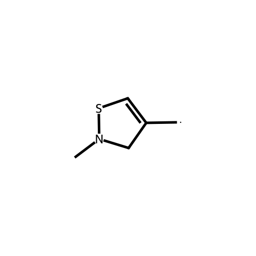 [CH2]C1=CSN(C)C1